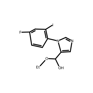 CCOC(O)c1cncn1-c1ccc(F)cc1I